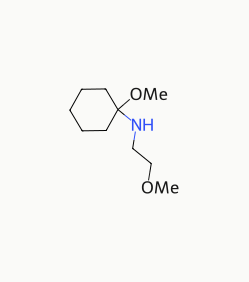 COCCNC1(OC)CCCCC1